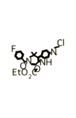 CCOC(=O)OC1=CN(C(=O)c2ccc(F)cc2)CC(C)(C)c2c1[nH]c1cc(N(C)CCCl)ccc21